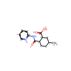 CC1CCC(C(=O)Nc2ccccn2)C(C(=O)O)C1